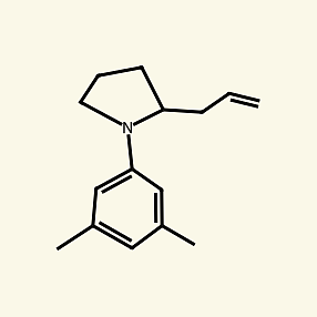 C=CCC1CCCN1c1cc(C)cc(C)c1